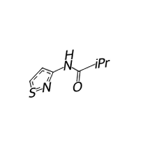 CC(C)C(=O)Nc1ccsn1